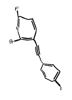 Fc1ccc(C#Cc2ccc(F)nc2Br)cc1